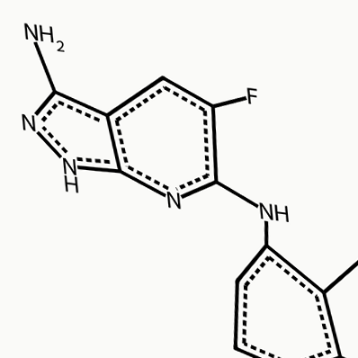 Cc1cccc(Nc2nc3[nH]nc(N)c3cc2F)c1C